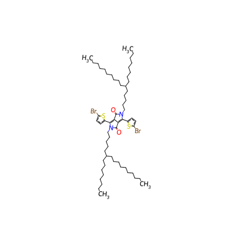 CCCCCCCCCCC(CCCCCCCC)CCCCCN1C(=O)C2=C(c3ccc(Br)s3)N(CCCCCC(CCCCCCCC)CCCCCCCCCC)C(=O)C2=C1c1ccc(Br)s1